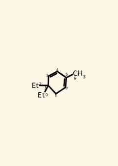 CCC1(CC)C=CC(C)=CC1